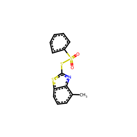 Cc1cccc2sc(SS(=O)(=O)c3ccccc3)nc12